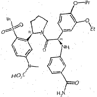 CCOc1cc([C@@H](Nc2cccc(C(N)=O)c2)C(=O)N2CCC[C@@H]2c2cc(N(C)C(=O)O)ccc2S(=O)(=O)C(C)C)ccc1OC(C)C